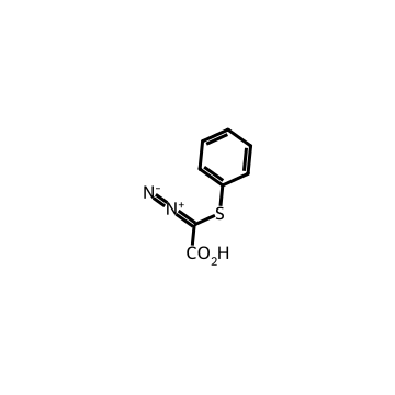 [N-]=[N+]=C(Sc1ccccc1)C(=O)O